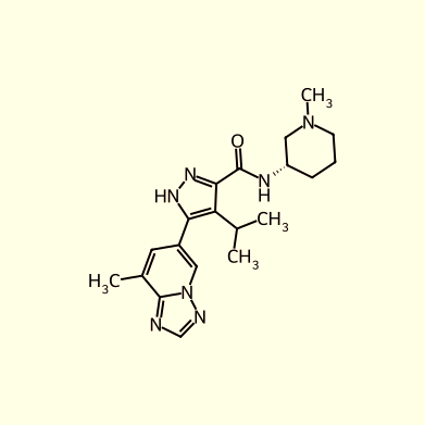 Cc1cc(-c2[nH]nc(C(=O)N[C@H]3CCCN(C)C3)c2C(C)C)cn2ncnc12